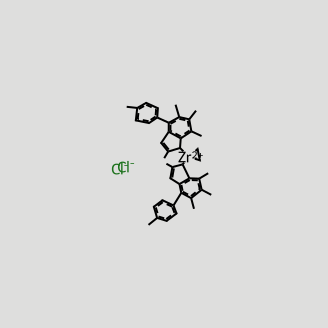 CC1=Cc2c(-c3ccc(C)cc3)c(C)c(C)c(C)c2[CH]1[Zr+2]1([CH]2C(C)=Cc3c(-c4ccc(C)cc4)c(C)c(C)c(C)c32)[CH2][CH2]1.[Cl-].[Cl-]